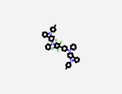 Cc1ccc(-n2c3ccccc3c3cc(N(c4ccccc4)c4ccc(-c5c(F)c(F)c(N(c6ccccc6)c6ccc7c(c6)c6ccccc6n7-c6ccc(C)cc6)c(F)c5F)cc4)ccc32)cc1